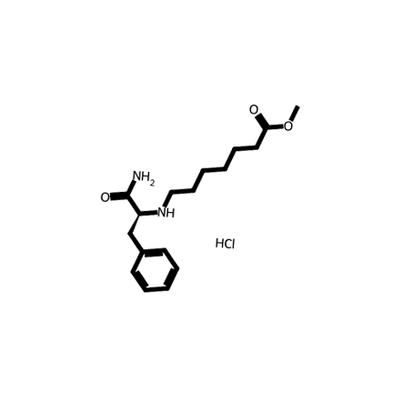 COC(=O)CCCCCCN[C@@H](Cc1ccccc1)C(N)=O.Cl